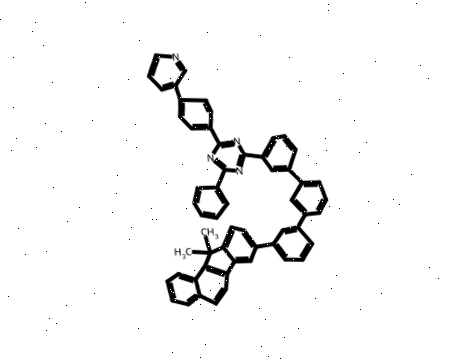 CC1(C)c2ccc(-c3cccc(-c4cccc(-c5cccc(-c6nc(-c7ccccc7)nc(-c7ccc(-c8cccnc8)cc7)n6)c5)c4)c3)cc2-c2ccc3ccccc3c21